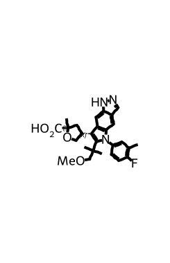 COCC(C)(C)c1c([C@@H]2CO[C@@](C)(C(=O)O)C2)c2cc3[nH]ncc3cc2n1-c1ccc(F)c(C)c1